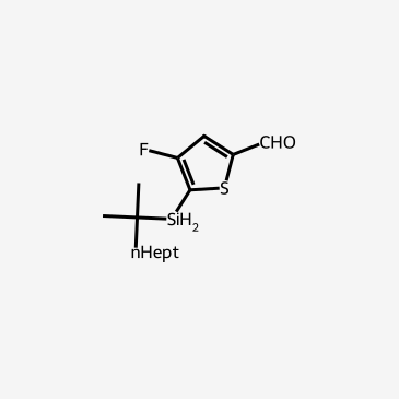 CCCCCCCC(C)(C)[SiH2]c1sc(C=O)cc1F